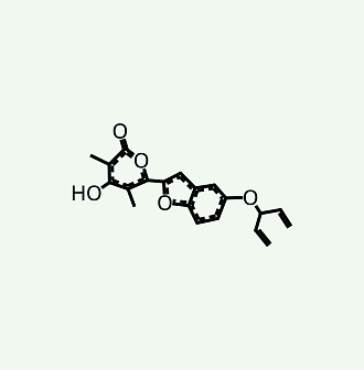 C=CC(C=C)Oc1ccc2oc(-c3oc(=O)c(C)c(O)c3C)cc2c1